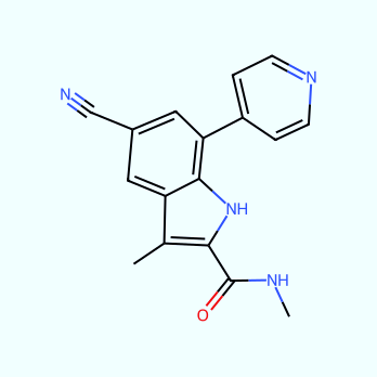 CNC(=O)c1[nH]c2c(-c3ccncc3)cc(C#N)cc2c1C